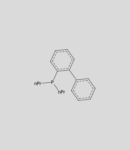 CCCP(CCC)c1ccccc1-c1ccccc1